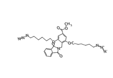 COC(=O)c1cc(OCCCCCCN=[N+]=[N-])c(CN2C(=O)c3ccccc3C2=O)c(OCCCCCCN=[N+]=[N-])c1